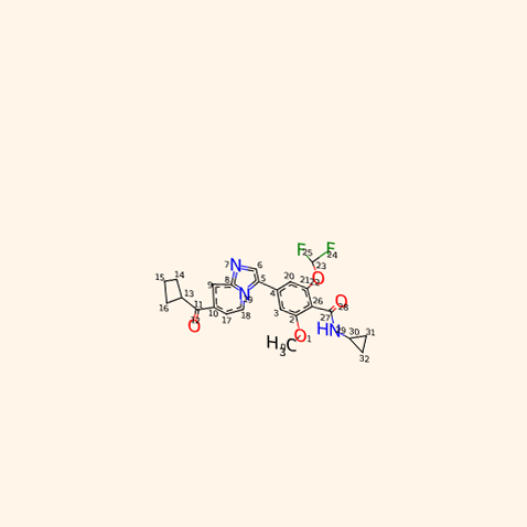 COc1cc(-c2cnc3cc(C(=O)C4CCC4)ccn23)cc(OC(F)F)c1C(=O)NC1CC1